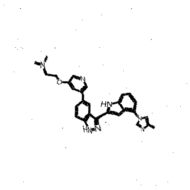 Cc1cn(-c2cccc3[nH]c(-c4n[nH]c5ccc(-c6cncc(OCCN(C)C)c6)cc45)cc23)cn1